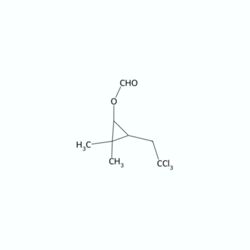 CC1(C)C(CC(Cl)(Cl)Cl)C1OC=O